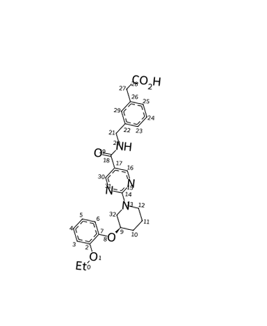 CCOc1ccccc1O[C@@H]1CCCN(c2ncc(C(=O)NCc3cccc(CC(=O)O)c3)cn2)C1